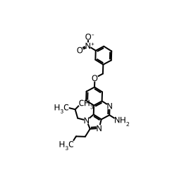 CCCc1nc2c(N)nc3cc(OCc4cccc([N+](=O)[O-])c4)ccc3c2n1CC(C)C